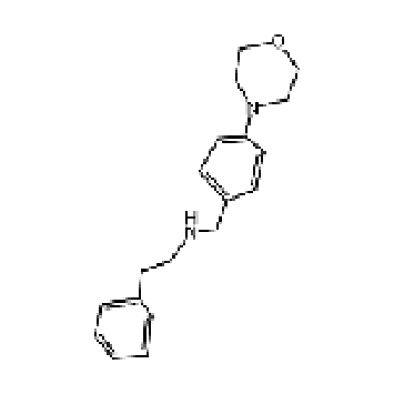 c1ccc(CCNCc2ccc(N3CCOCC3)cc2)cc1